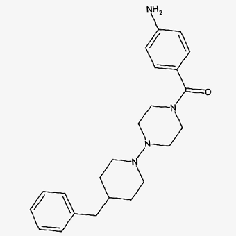 Nc1ccc(C(=O)N2CCN(N3CCC(Cc4ccccc4)CC3)CC2)cc1